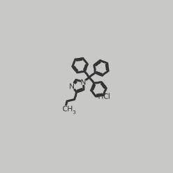 CCCc1cn(C(c2ccccc2)(c2ccccc2)c2ccccc2)cn1.Cl